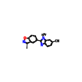 CCCn1c(-c2ccc3onc(C)c3c2)nc2ccc(C#N)cc21